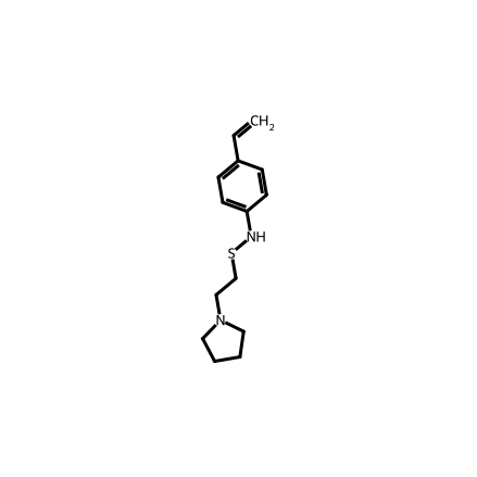 C=Cc1ccc(NSCCN2CCCC2)cc1